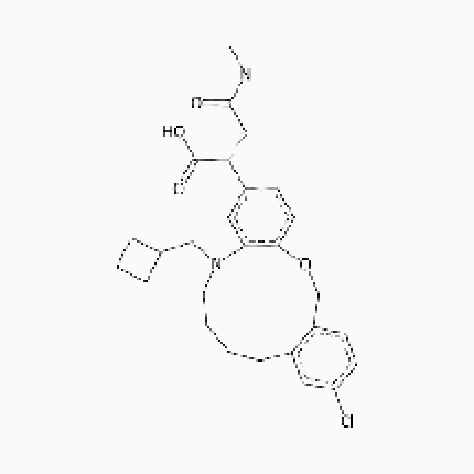 CN(C)C(=O)C[C@@H](C(=O)O)c1ccc2c(c1)N(CC1CCC1)CCCCc1cc(Cl)ccc1CO2